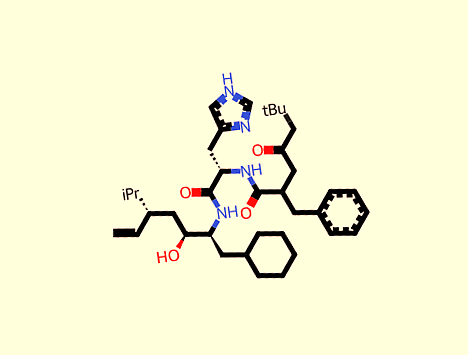 C=C[C@@H](C[C@H](O)[C@H](CC1CCCCC1)NC(=O)[C@H](Cc1c[nH]cn1)NC(=O)C(CC(=O)CC(C)(C)C)Cc1ccccc1)C(C)C